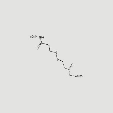 CCCCCCCCNC(=O)CCSSCCC(=O)NCCCCCCCC